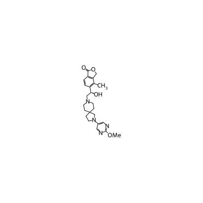 COc1ncc(N2CCC3(CCN(C[C@H](O)c4ccc5c(c4C)COC5=O)CC3)C2)cn1